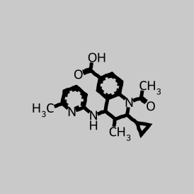 CC(=O)N1c2ccc(C(=O)O)cc2C(Nc2cccc(C)n2)C(C)C1C1CC1